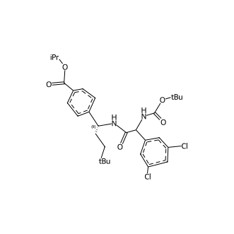 CC(C)OC(=O)c1ccc([C@@H](CCC(C)(C)C)NC(=O)C(NC(=O)OC(C)(C)C)c2cc(Cl)cc(Cl)c2)cc1